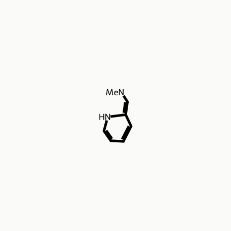 CN/C=C1/C=CC=CN1